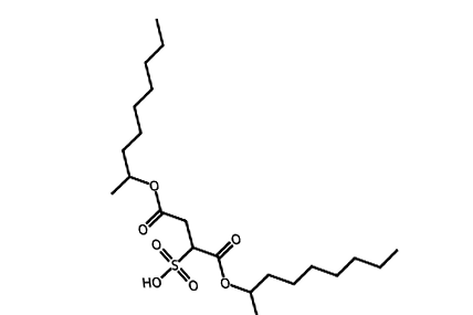 CCCCCCCC(C)OC(=O)CC(C(=O)OC(C)CCCCCCC)S(=O)(=O)O